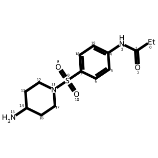 CCC(=O)Nc1ccc(S(=O)(=O)N2CCC(N)CC2)cc1